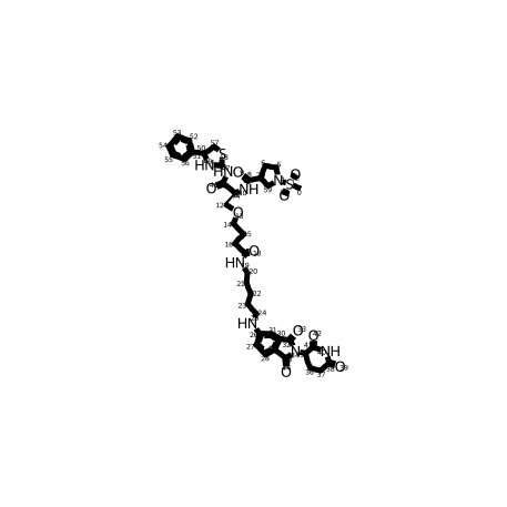 CS(=O)(=O)N1CCC(C(=O)N[C@@H](COCCCC(=O)NCCCCCNc2ccc3c(c2)C(=O)N(C2CCC(=O)NC2=O)C3=O)C(=O)NC2NC(c3ccccc3)CS2)C1